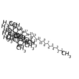 CCCCCCCCCCCCCCCCCCC(Cc1cc(C(C)(C)C)c(O)c(C(C)(C)C)c1)C(=O)Oc1c(C(C)(C)C)cc(C)cc1C(C)(C)C